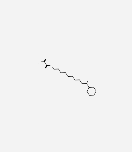 C=C(C)C(=O)OCCCCCCCCCC(C)C1CCCCC1